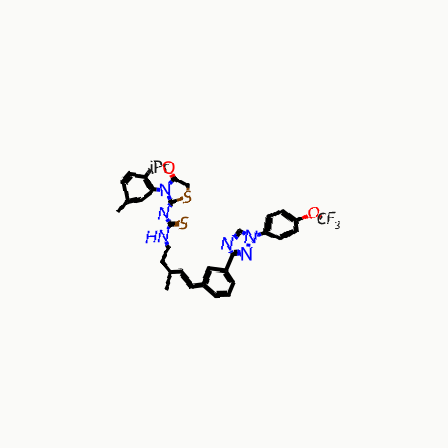 Cc1ccc(C(C)C)c(N2C(=O)CS/C2=N\C(=S)NCCC(C)/C=C/c2cccc(-c3ncn(-c4ccc(OC(F)(F)F)cc4)n3)c2)c1